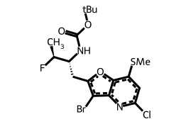 CSc1cc(Cl)nc2c(Br)c(C[C@@H](NC(=O)OC(C)(C)C)[C@H](C)F)oc12